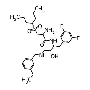 CCCC(CCC)S(=O)(=O)CC(N)C(=O)N[C@@H](Cc1cc(F)cc(F)c1)[C@H](O)CNCc1cccc(CC)c1